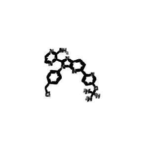 [2H]C([2H])([2H])Oc1ccc(-c2ccc3nc(-c4nccnc4N)n(-c4ccc(CCl)cc4)c3n2)nc1